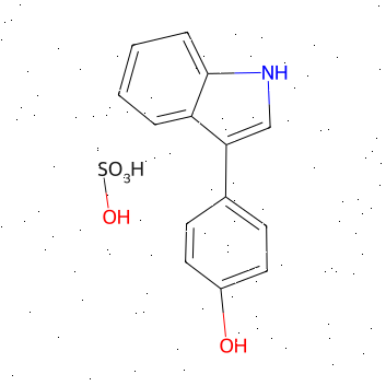 O=S(=O)(O)O.Oc1ccc(-c2c[nH]c3ccccc23)cc1